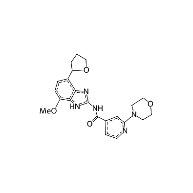 COc1ccc(C2CCCO2)c2nc(NC(=O)c3ccnc(N4CCOCC4)c3)[nH]c12